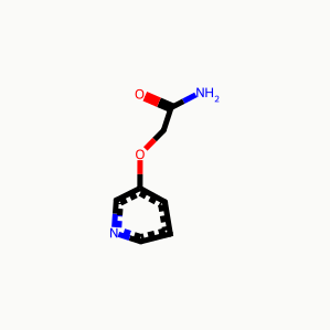 NC(=O)COc1cccnc1